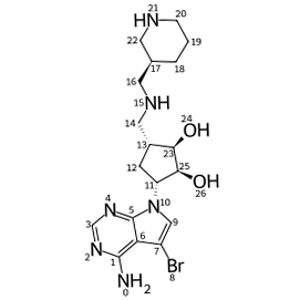 Nc1ncnc2c1c(Br)cn2[C@@H]1C[C@H](CNC[C@@H]2CCCNC2)[C@@H](O)[C@H]1O